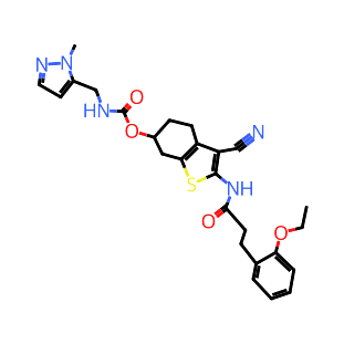 CCOc1ccccc1CCC(=O)Nc1sc2c(c1C#N)CCC(OC(=O)NCc1ccnn1C)C2